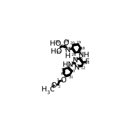 COCCOc1ccc(Nc2ncc(F)c(Nc3cccc(NC(=O)C(O)O)c3)n2)cc1